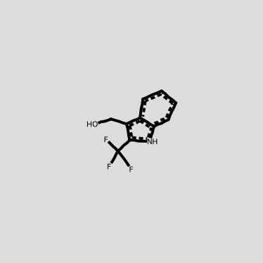 OCc1c(C(F)(F)F)[nH]c2ccccc12